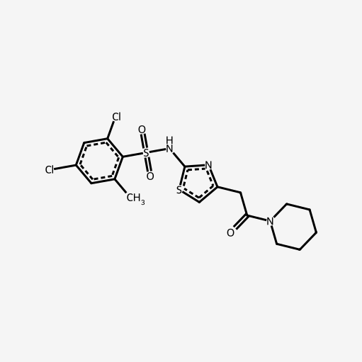 Cc1cc(Cl)cc(Cl)c1S(=O)(=O)Nc1nc(CC(=O)N2CCCCC2)cs1